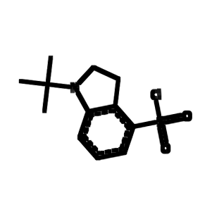 CC(C)(C)N1CCc2c1cccc2S(=O)(=O)Cl